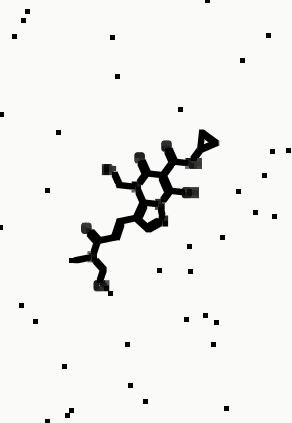 CC(C)Cn1c(=O)c(C(=O)NC2CC2)c(O)n2ncc(C=CC(=O)N(C)CC#N)c12